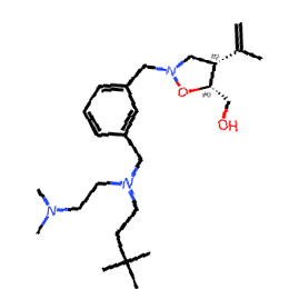 C=C(C)[C@H]1CN(Cc2cccc(CN(CCN(C)C)CCC(C)(C)C)c2)O[C@H]1CO